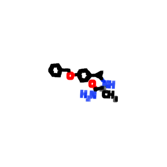 C[C@@H](NC1CC1c1ccc(OCc2ccccc2)cc1)C(N)=O